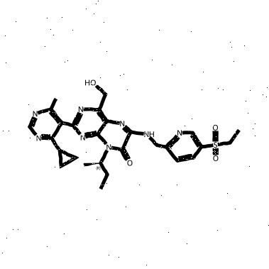 CC[C@@H](C)n1c(=O)c(NCc2ccc(S(=O)(=O)CC)cn2)nc2c(CO)nc(-c3c(C)ncnc3C3CC3)nc21